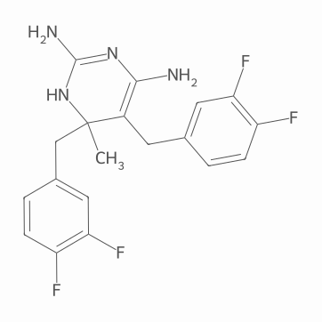 CC1(Cc2ccc(F)c(F)c2)NC(N)=NC(N)=C1Cc1ccc(F)c(F)c1